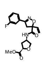 C=CC1(C(=O)N[C@H]2CO[C@@H](C(=O)OC)C2)CC(c2cccc(F)c2)=NO1